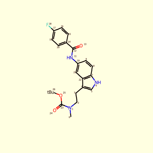 CN(CCc1c[nH]c2ccc(NC(=O)c3ccc(F)cc3)cc12)C(=O)OC(C)(C)C